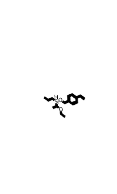 C=Cc1ccc(CO[SiH](CCC)C(C)OCC)cc1